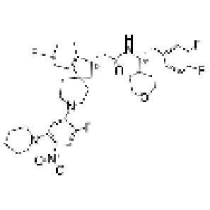 O=C(C[C@@H]1CC2(CCN(c3cc(N4CCCCC4)c([N+](=O)[O-])cc3F)CC2)c2cc(F)ccc21)N[C@H](Cc1ccc(F)c(F)c1)C1CCOCC1